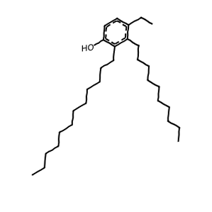 CCCCCCCCCCCCc1c(O)ccc(CC)c1CCCCCCCCCC